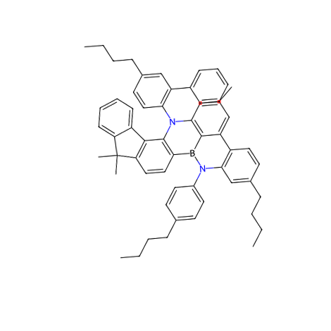 CCCCc1ccc(N2B3c4ccc5c(c4N(c4ccc(CCCC)cc4-c4ccccc4)c4cc(C)cc(c43)-c3ccc(CCCC)cc32)-c2ccccc2C5(C)C)cc1